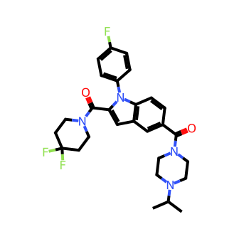 CC(C)N1CCN(C(=O)c2ccc3c(c2)cc(C(=O)N2CCC(F)(F)CC2)n3-c2ccc(F)cc2)CC1